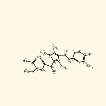 Cc1cc(NC(=O)c2c(C)c(C(O)C(=O)N[C@@H](CO)C(N)=O)n(C)c2C)ccc1F